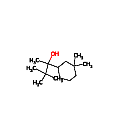 CC1(C)CCCC(C(C)(O)C(C)(C)C)C1